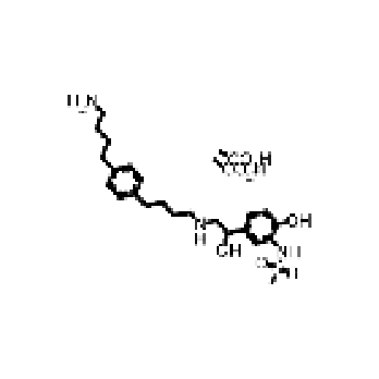 CC(=O)O.CC(=O)O.CS(=O)(=O)Nc1cc(C(O)CNCCCCc2ccc(CCCCN)cc2)ccc1O